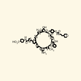 Cc1sc2nc1C(=O)N[C@@H]([C@H](O)c1ccccc1)c1nc(cs1)C(=O)N[C@@H](Cc1ccc(OCC(=O)NCCC3CCOCC3)cc1)C(=O)N1C[C@H](O)[C@H](C)[C@H]1c1nc(cs1)-c1nc(cs1)-c1nc(-c3nc(C(=O)N[C@H]4CC[C@H](C(=O)O)CC4)cs3)ccc1-c1nc(cs1)C(=O)N[C@H]2CC(N)=O